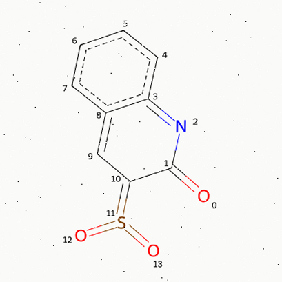 O=C1N=c2ccccc2=CC1=S(=O)=O